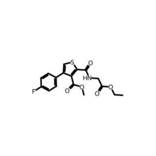 CCOC(=O)CNC(=O)c1scc(-c2ccc(F)cc2)c1C(=O)OC